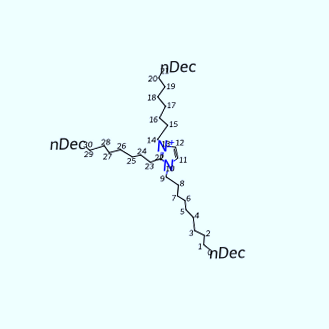 CCCCCCCCCCCCCCCCCCCn1cc[n+](CCCCCCCCCCCCCCCCC)c1CCCCCCCCCCCCCCCCC